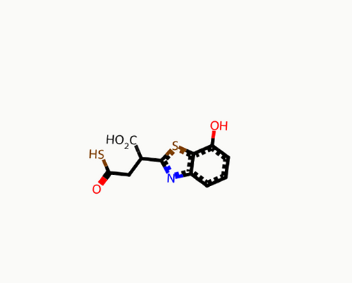 O=C(S)CC(C(=O)O)c1nc2cccc(O)c2s1